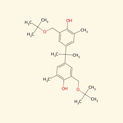 Cc1cc(C(C)(C)c2cc(C)c(O)c(COC(C)(C)C)c2)cc(COC(C)(C)C)c1O